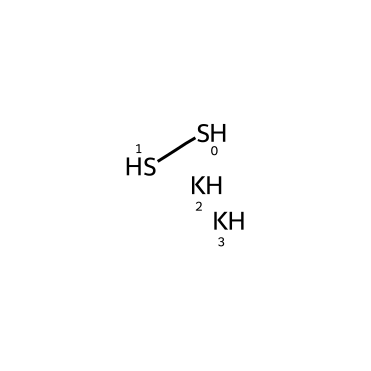 SS.[KH].[KH]